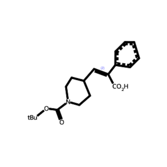 CC(C)(C)OC(=O)N1CCC(/C=C(\C(=O)O)c2ccccc2)CC1